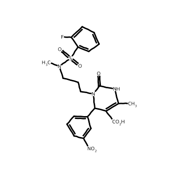 CC1=C(C(=O)O)C(c2cccc([N+](=O)[O-])c2)N(CCCN(C)S(=O)(=O)c2ccccc2F)C(=O)N1